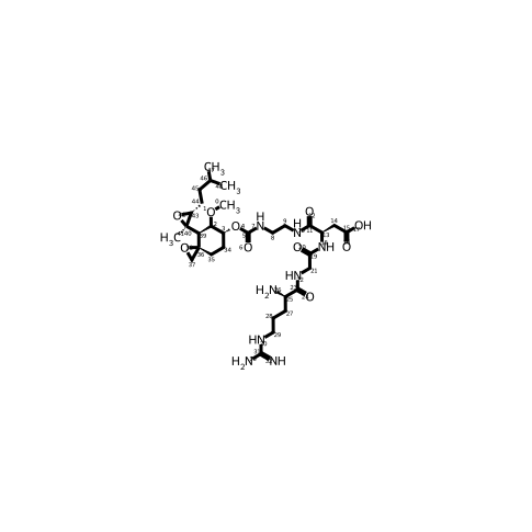 COC1[C@H](OC(=O)NCCNC(=O)[C@@H](CC(=O)O)NC(=O)CNC(=O)[C@H](N)CCCNC(=N)N)CC[C@]2(CO2)[C@H]1[C@@]1(C)O[C@@H]1CCC(C)C